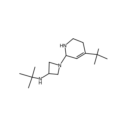 CC(C)(C)NC1CN(C2C=C(C(C)(C)C)CCN2)C1